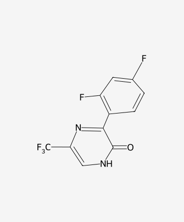 O=c1[nH]cc(C(F)(F)F)nc1-c1ccc(F)cc1F